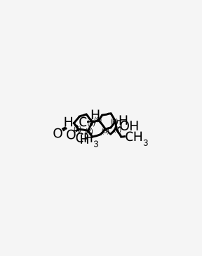 CC[C@@]1(O)C[C@@]23CC[C@@H]4[C@](C)(CCC[C@]4(C)OC=O)[C@H]2CC[C@@H]1C3